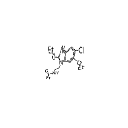 CCOc1cc2c(cc1Cl)nc(OCC)n2CCNC(=O)CC